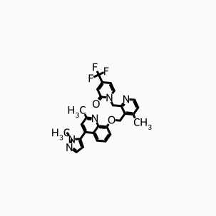 Cc1cc(-c2ccnn2C)c2cccc(OCc3c(C)ccnc3Cn3ccc(C(F)(F)F)cc3=O)c2n1